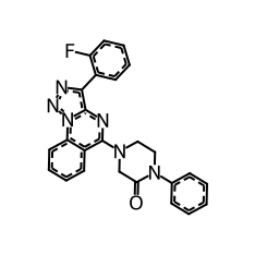 O=C1CN(c2nc3c(-c4ccccc4F)nnn3c3ccccc23)CCN1c1ccccc1